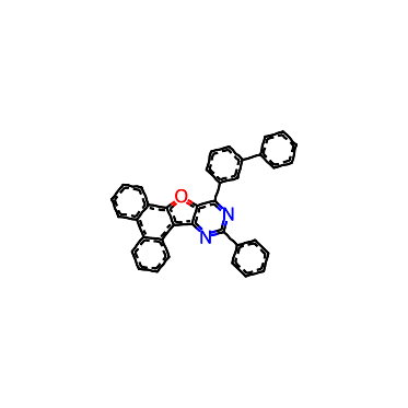 c1ccc(-c2cccc(-c3nc(-c4ccccc4)nc4c3oc3c5ccccc5c5ccccc5c43)c2)cc1